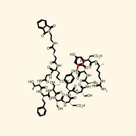 CC[C@H](C)[C@H](NC(=O)[C@H](CO)NC(=O)[C@H](Cc1ccc(O)cc1)NC(=O)[C@H](CC(=O)O)NC(=O)[C@H](CO)NC(=O)[C@@H](NC(=O)[C@H](CCc1ccccc1)NC(=O)[C@@H](NC(=O)CNC(=O)[C@H](CCC(=O)O)NC(=O)CSCC(=O)NCCN1C(=O)c2ccccc2C1=O)[C@@H](C)O)[C@@H](C)O)C(=O)N[C@@H](Cc1ccc(O)cc1)C(=O)N[C@@H](CC(C)C)C(=O)N[C@@H](CC(=O)O)C(=O)N[C@H](C)CCCNC(=N)N